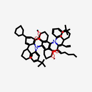 C=C/C(=C(\C(=C/CCCC)C1CCCCC1)N(c1cccc(C(C)(C)C)c1)c1cc(C(=O)OC)c(N(c2cccc(C(C)(C)C)c2)c2c(C3CCCCC3)cc(C3CCCCC3)cc2C2CCCCC2)cc1C(=O)OC)C1CCCCC1